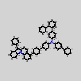 c1ccc(-c2ccc(N(c3ccc(-c4ccc(-c5cccc6c5ccc5c(-c7ccccc7)c7ccccc7n56)cc4)cc3)c3ccc(-c4ccccc4-c4ccccc4)cc3)cc2)cc1